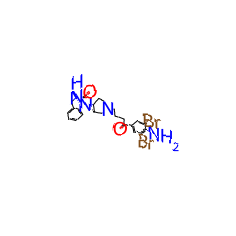 Nc1c(Br)cc(C(=O)CCCN2CCC(N3C(=O)NCc4ccccc43)CC2)cc1Br